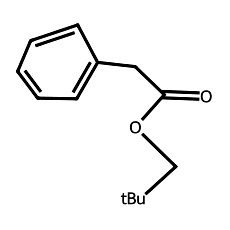 CC(C)(C)COC(=O)Cc1ccccc1